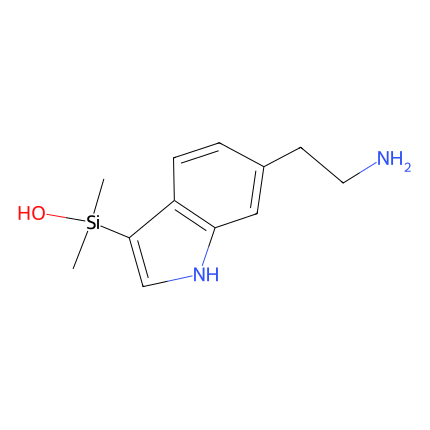 C[Si](C)(O)c1c[nH]c2cc(CCN)ccc12